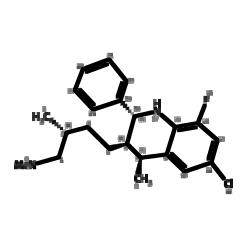 CNC[C@H](C)CC[C@@H]1[C@H](C)c2cc(Cl)cc(F)c2N[C@H]1c1ccccc1